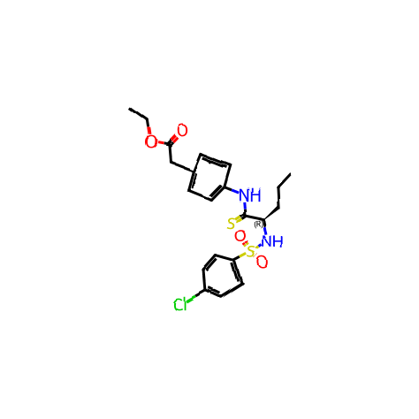 CCC[C@@H](NS(=O)(=O)c1ccc(Cl)cc1)C(=S)Nc1ccc(CC(=O)OCC)cc1